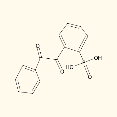 O=C(C(=O)c1ccccc1P(=O)(O)O)c1ccccc1